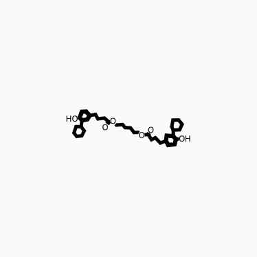 O=C(CCCc1ccc(O)c(C2CCCCC2)c1)OCCCCCCOC(=O)CCCc1ccc(O)c(C2CCCCC2)c1